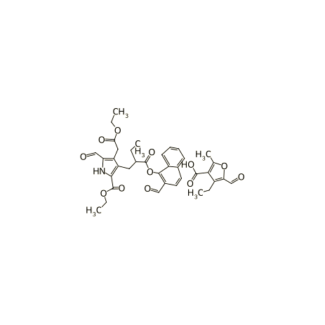 CCOC(=O)Cc1c(C=O)[nH]c(C(=O)OCC)c1CC(CC)C(=O)Oc1c(C=O)ccc2ccccc12.CCc1c(C=O)oc(C)c1C(=O)O